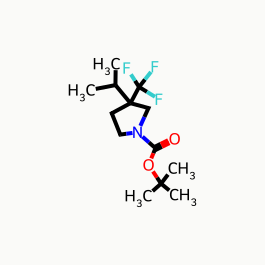 CC(C)C1(C(F)(F)F)CCN(C(=O)OC(C)(C)C)C1